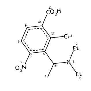 CCN(CC)C(C)c1c([N+](=O)[O-])ccc(C(=O)O)c1Cl